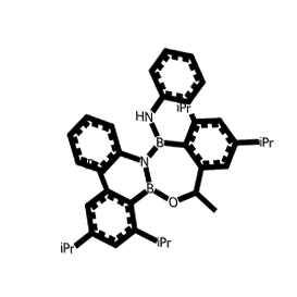 CC(C)c1cc(C(C)C)c(B2OC(C)c3cc(C(C)C)cc(C(C)C)c3B(Nc3ccccc3)N2c2ccccc2)c(C(C)C)c1